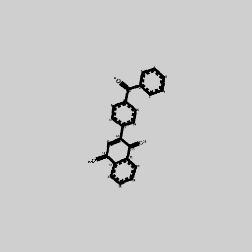 O=C(c1ccccc1)c1ccc(C2=CC(=O)c3ccccc3C2=O)cc1